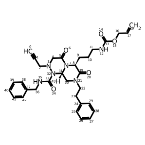 C#CCN1CC(=O)N2[C@@H](CCCNC(=O)OCC=C)C(=O)N(CCc3ccccc3)C[C@@H]2N1C(=O)NCc1ccccc1